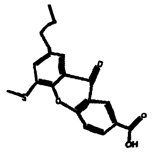 CCCc1cc(SC)c2oc3ccc(C(=O)O)cc3c(=O)c2c1